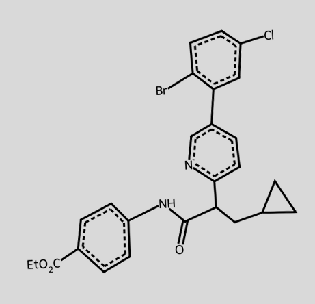 CCOC(=O)c1ccc(NC(=O)C(CC2CC2)c2ccc(-c3cc(Cl)ccc3Br)cn2)cc1